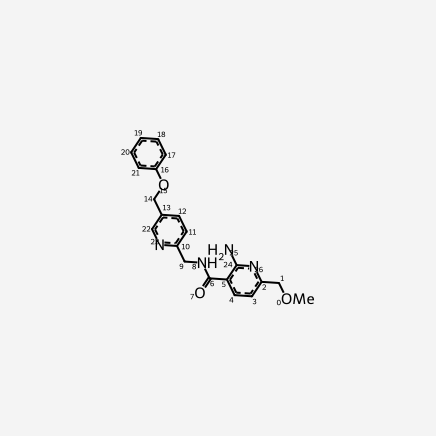 COCc1ccc(C(=O)NCc2ccc(COc3ccccc3)cn2)c(N)n1